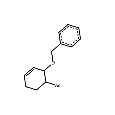 CC(=O)C1CCC=CC1OCc1ccccc1